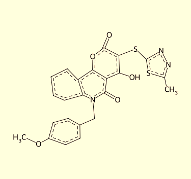 COc1ccc(Cn2c(=O)c3c(O)c(Sc4nnc(C)s4)c(=O)oc3c3ccccc32)cc1